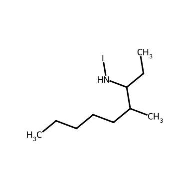 CCCCCC(C)C(CC)NI